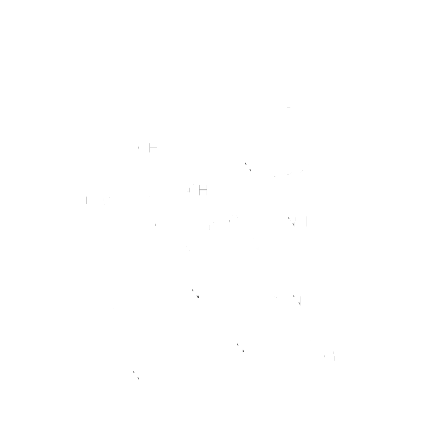 Cc1cnc(N(C(=O)OC(C)(C)C)c2cccnc2)c(C(=O)Nc2ccc(F)cn2)n1